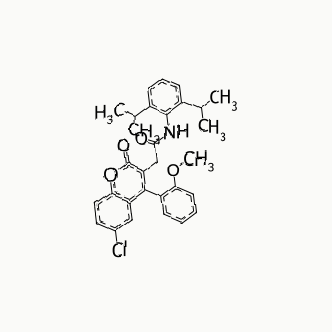 COc1ccccc1-c1c(CC(=O)Nc2c(C(C)C)cccc2C(C)C)c(=O)oc2ccc(Cl)cc12